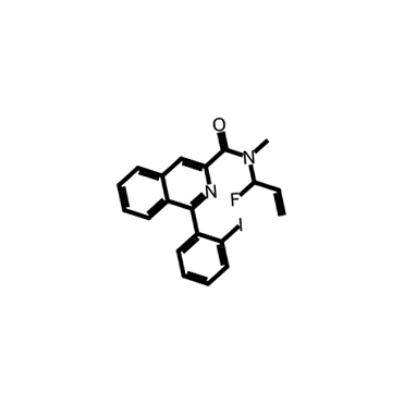 C=CC(F)N(C)C(=O)c1cc2ccccc2c(-c2ccccc2I)n1